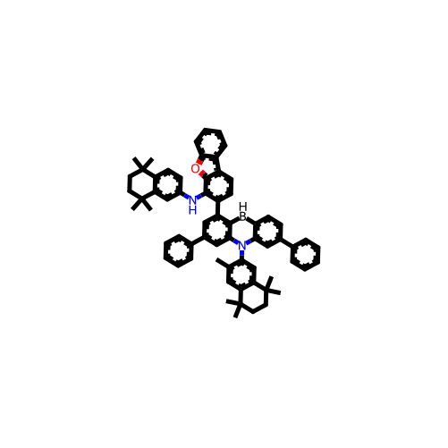 Cc1cc2c(cc1N1c3cc(-c4ccccc4)ccc3Bc3c(-c4ccc5c(oc6ccccc65)c4Nc4ccc5c(c4)C(C)(C)CCC5(C)C)cc(-c4ccccc4)cc31)C(C)(C)CCC2(C)C